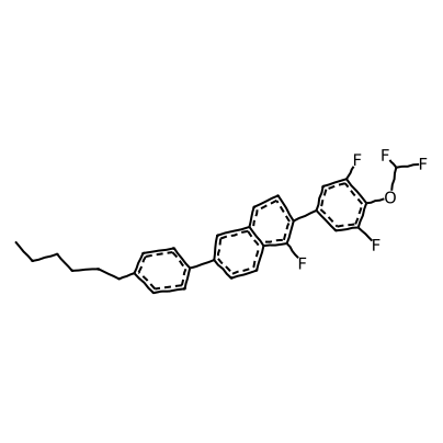 CCCCCCc1ccc(-c2ccc3c(F)c(-c4cc(F)c(OC(F)F)c(F)c4)ccc3c2)cc1